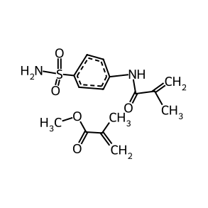 C=C(C)C(=O)Nc1ccc(S(N)(=O)=O)cc1.C=C(C)C(=O)OC